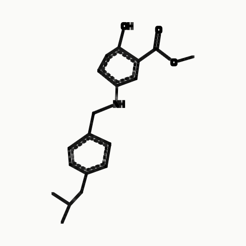 COC(=O)c1cc(NCc2ccc(CC(C)C)cc2)ccc1O